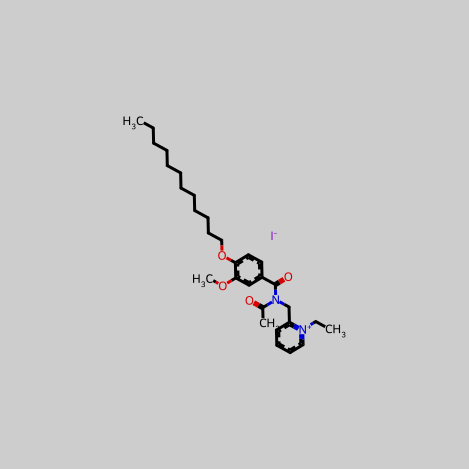 CCCCCCCCCCCCOc1ccc(C(=O)N(Cc2cccc[n+]2CC)C(C)=O)cc1OC.[I-]